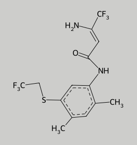 Cc1cc(C)c(SCC(F)(F)F)cc1NC(=O)C=C(N)C(F)(F)F